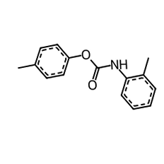 Cc1ccc(OC(=O)Nc2ccccc2C)cc1